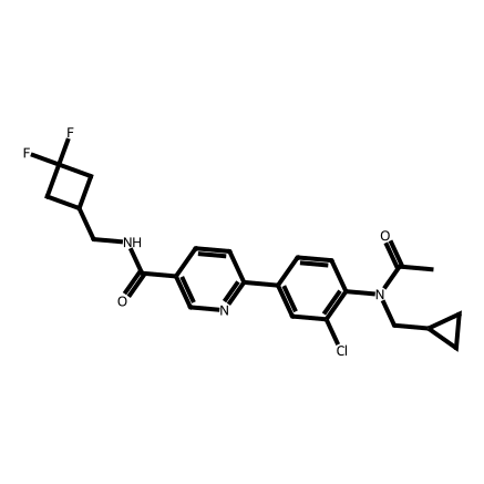 CC(=O)N(CC1CC1)c1ccc(-c2ccc(C(=O)NCC3CC(F)(F)C3)cn2)cc1Cl